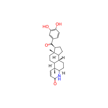 C[C@]12C=CC(=O)N[C@@H]1CC[C@@H]1[C@@H]2CC[C@]2(C)[C@@H](C(=O)c3ccc(O)c(O)c3)CC[C@@H]12